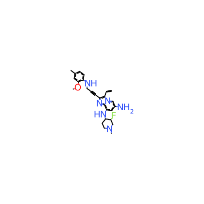 C=Cc1c(C#CCNc2ccc(C)cc2OC)nc2c(N[C@@H]3CCN(C)C[C@@H]3F)cc(N)cn12